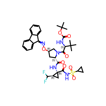 CC(C)(C)OC(=O)N[C@H](C(=O)N1C[C@H](ON=C2c3ccccc3-c3ccccc32)C[C@H]1C(=O)N[C@]1(C(=O)NS(=O)(=O)C2CC2)C[C@H]1C(F)F)C(C)(C)C